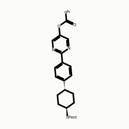 CCCCC[C@H]1CC[C@H](c2ccc(-c3ncc(OC(=O)CCC)cn3)cc2)CC1